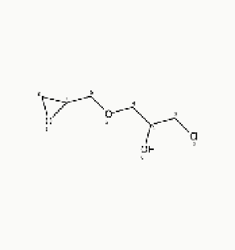 OC(CCl)COCC1CO1